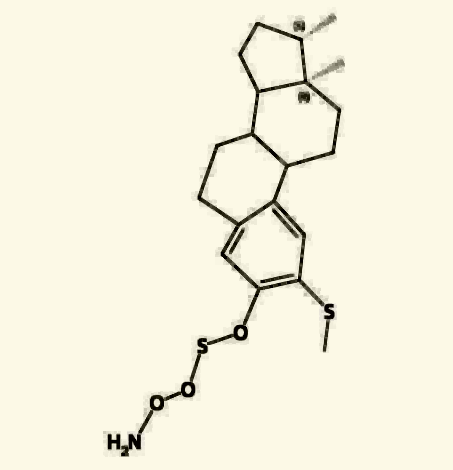 CSc1cc2c(cc1OSOON)CCC1C2CC[C@@]2(C)C1CC[C@@H]2C